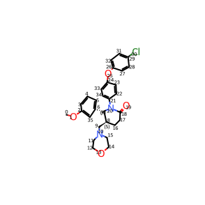 COc1cccc([C@H]2[C@H](CN3CCOCC3)CCC(=O)N2c2ccc(Oc3ccc(Cl)cc3)cc2)c1